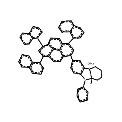 CO[C@]12CCCCC1(C)N(c1ccccc1)c1ccc(-c3cc(-c4cccc5ccccc45)c4ccc5c(-c6cccc7ccccc67)cc(-c6cccc7ccccc67)c6ccc3c4c65)cc12